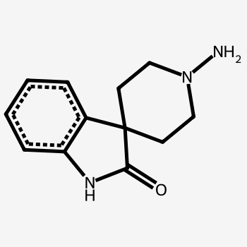 NN1CCC2(CC1)C(=O)Nc1ccccc12